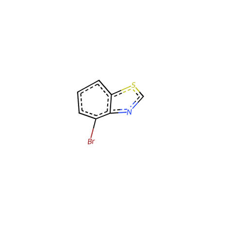 Brc1cccc2scnc12